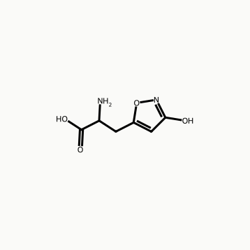 NC(Cc1cc(O)no1)C(=O)O